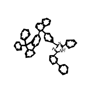 c1ccc(C2=NC(c3ccc(-c4c(-c5ccc6c(c5)C(c5ccccc5)(c5ccccc5)c5ccccc5-6)ccc5ccccc45)cc3)=NC(c3cccc(-c4ccccc4)c3)N2)cc1